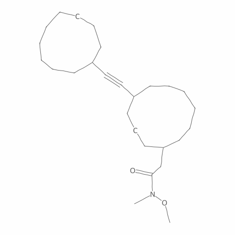 CON(C)C(=O)CC1CCCCCCC(C#CC2CCCCCCCCC2)CCC1